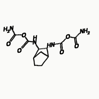 NC(=O)OC(=O)NC1C2CCC(C2)C1NC(=O)OC(N)=O